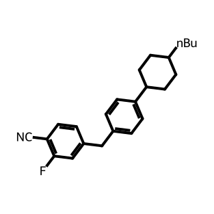 CCCCC1CCC(c2ccc(Cc3ccc(C#N)c(F)c3)cc2)CC1